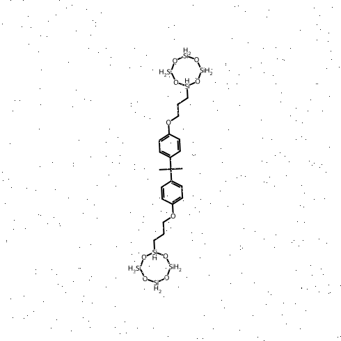 CC(C)(c1ccc(OCCC[SiH]2O[SiH2]O[SiH2]O[SiH2]O2)cc1)c1ccc(OCCC[SiH]2O[SiH2]O[SiH2]O[SiH2]O2)cc1